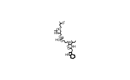 CC[C@H](C)[C@H](NC(=O)Cc1c[nH]c2ccccc12)C(=O)NCCOP(=O)(O)OCC(COCC[C@@H](C)OC)NC(C)=O